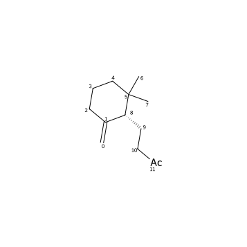 C=C1CCCC(C)(C)[C@@H]1CCC(C)=O